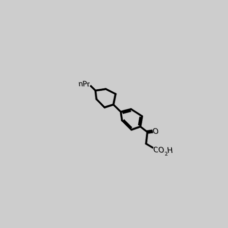 CCCC1CCC(c2ccc(C(=O)CC(=O)O)cc2)CC1